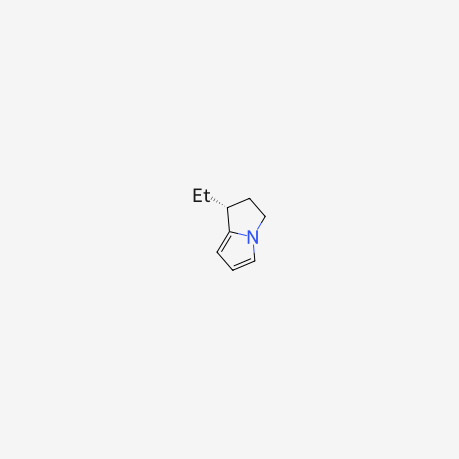 CC[C@@H]1CCn2cccc21